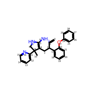 C=CC(CC1=C(N)NCC1(C)c1ccccn1)c1ccccc1Oc1ccccc1